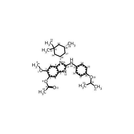 COc1cc2c(cc1OC(C)=O)nc(Nc1ccc(OC(C)C)cc1)n2[C@H]1C[C@@H](C)CC(C)(C)C1